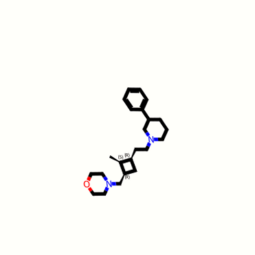 C[C@H]1[C@@H](CCN2CCCC(c3ccccc3)C2)C[C@H]1CN1CCOCC1